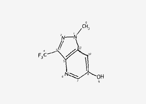 Cn1nc(C(F)(F)F)c2ncc(O)cc21